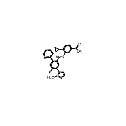 Cn1nccc1-c1cc(NSc2cc(C(=O)O)ccc2C2CC2)c(-c2ccccn2)cc1F